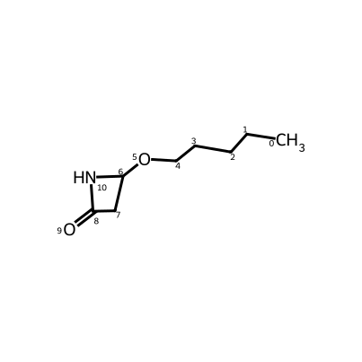 CCCCCOC1CC(=O)N1